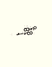 C=CC(=O)OCCNC(=O)Oc1ccc2ccccc2c1-c1c(OC(=O)Nc2ccccc2SC)ccc2ccccc12